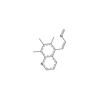 C=N/C=C\c1c(C)c(C)c(C)c2ncccc12